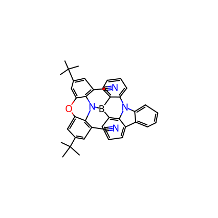 CC(C)(C)c1cc(C#N)c2c(c1)Oc1cc(C(C)(C)C)cc(C#N)c1N2B1c2ccccc2-n2c3ccccc3c3cccc1c32